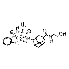 CC(C)(NS(=O)(=O)c1ccccc1Cl)C(=O)NC1C2CC3CC1CC(C(=O)NCCO)(C3)C2